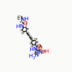 CCNCC(=O)Nc1ccc(C#CC#Cc2ccc(C(=O)N[C@@H](CN)C(=O)NO)cc2)cc1